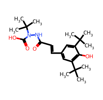 CC(C)(C)c1cc(C=CC(=O)NN(C(=O)O)C(C)(C)C)cc(C(C)(C)C)c1O